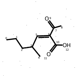 CCCC(C)C=C(C(C)=O)C(=O)O